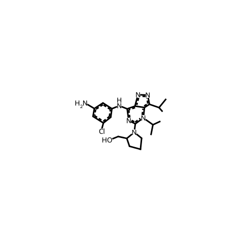 CC(C)c1nnc2c(Nc3cc(N)cc(Cl)c3)nc(N3CCCC3CO)n(C(C)C)c1-2